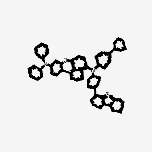 c1ccc(-c2ccc(N(c3ccc(-c4cccc5c4sc4ccccc45)cc3)c3ccc4c5c(cccc35)-c3ccc(N(c5ccccc5)c5ccccc5)cc3O4)cc2)cc1